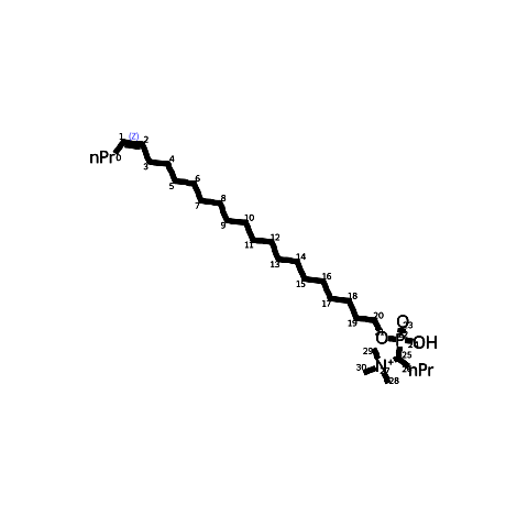 CCC/C=C\CCCCCCCCCCCCCCCCCCOP(=O)(O)C(CCC)[N+](C)(C)C